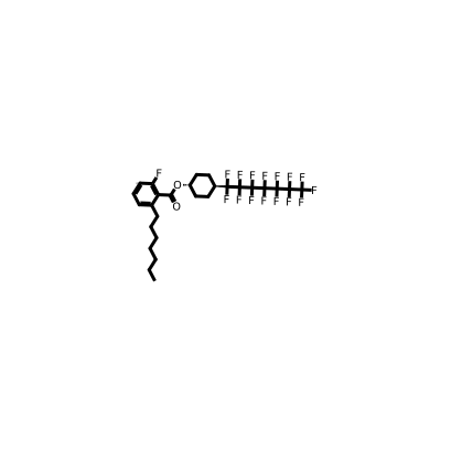 CCCCCCCc1cc[c]c(F)c1C(=O)O[C@H]1CC[C@H](C(F)(F)C(F)(F)C(F)(F)C(F)(F)C(F)(F)C(F)(F)C(F)(F)F)CC1